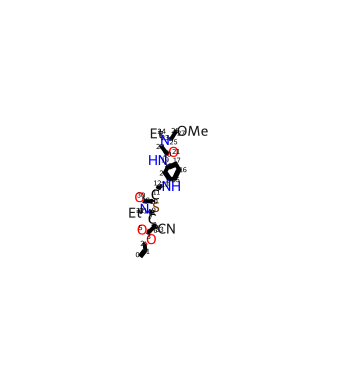 C=CCOC(=O)C(=C=c1sc(=C=CNc2cccc(NC(=O)CN(CC)CCOC)c2)c(=O)n1CC)C#N